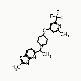 Cc1cc(OC2CCN(C(C)c3ccc4sc(C)nc4n3)CC2)cc(C(F)(F)F)n1